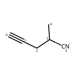 C#CCC(C)C#N